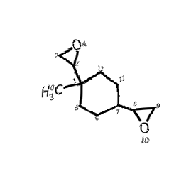 CC1(C2CO2)CCC(C2CO2)CC1